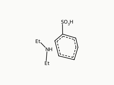 CCNCC.O=S(=O)(O)c1ccccc1